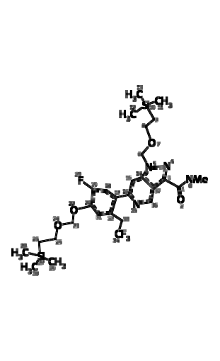 CNC(=O)c1nn(COCC[Si](C)(C)C)c2cc(-c3cc(F)c(OCOCC[Si](C)(C)C)cc3CC(F)(F)F)ncc12